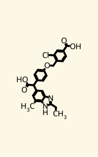 CCc1nc2cc(C(C(=O)O)c3ccc(OCc4ccc(C(=O)O)cc4Cl)cc3)cc(C)c2[nH]1